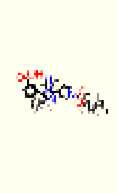 Cc1ccc(C(=O)O)cc1-c1[nH]c(C2(C)CCN(C(=O)OC(C)(C)C)CC2)nc1C